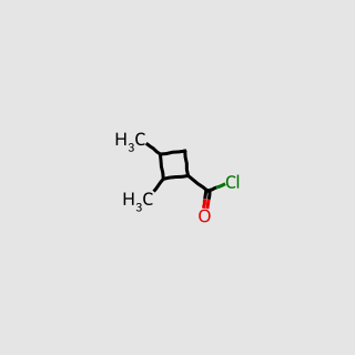 CC1CC(C(=O)Cl)C1C